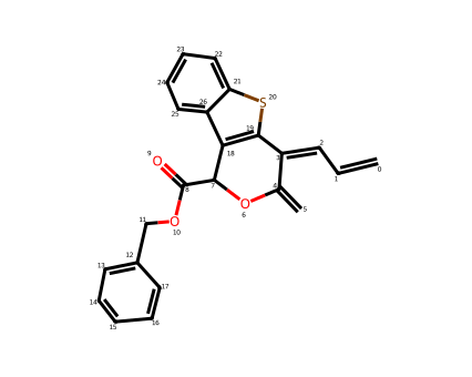 C=C/C=C1\C(=C)OC(C(=O)OCc2ccccc2)c2c1sc1ccccc21